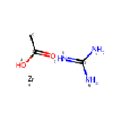 CC(=O)O.N=C(N)N.[Zr]